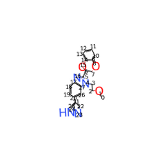 COCCn1c(C2COc3ccccc3O2)nc2ccc(-c3cn[nH]c3)cc21